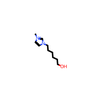 C[n+]1ccn(CCCCCCO)c1